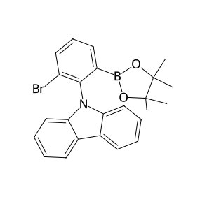 CC1(C)OB(c2cccc(Br)c2-n2c3ccccc3c3ccccc32)OC1(C)C